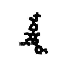 CCc1c(N2CCN(C(=O)OC(C)(C)C)CC2)c(=O)c2sc(-c3ccnc(OC)c3)nc2n1CC(=O)O